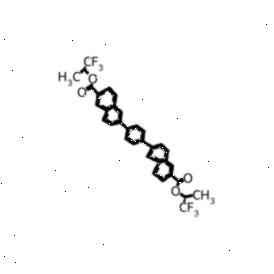 C[C@H](OC(=O)c1ccc2cc(-c3ccc(-c4ccc5cc(C(=O)O[C@@H](C)C(F)(F)F)ccc5c4)cc3)ccc2c1)C(F)(F)F